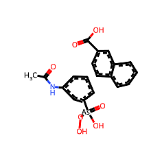 CC(=O)Nc1cccc([As](=O)(O)OO)c1.O=C(O)c1ccc2ccccc2c1